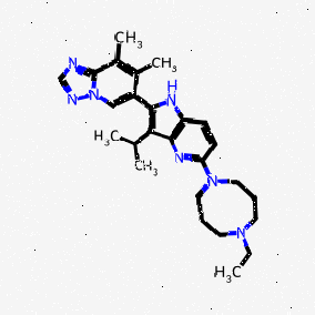 CCN1CCCN(c2ccc3[nH]c(-c4cn5ncnc5c(C)c4C)c(C(C)C)c3n2)CCC1